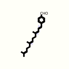 CC(C)=CCC/C(C)=C/CC/C(C)=C/C=C/c1ccc(C=O)cc1